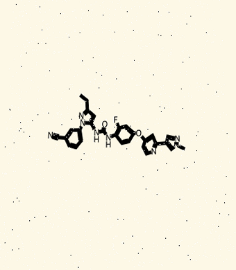 CCc1cc(NC(=O)Nc2ccc(Oc3ccnc(-c4cnn(C)c4)c3)cc2F)n(-c2cccc(C#N)c2)n1